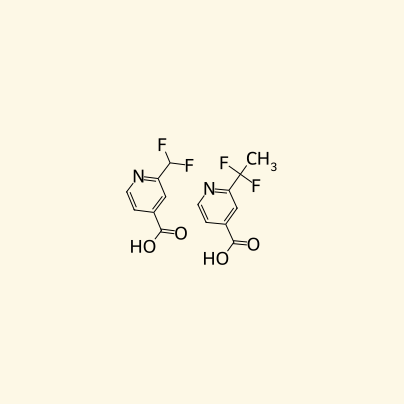 CC(F)(F)c1cc(C(=O)O)ccn1.O=C(O)c1ccnc(C(F)F)c1